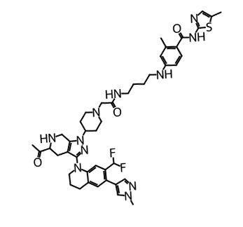 CC(=O)C1Cc2c(N3CCCc4cc(-c5cnn(C)c5)c(C(F)F)cc43)nn(C3CCN(CC(=O)NCCCCNc4ccc(C(=O)Nc5ncc(C)s5)c(C)c4)CC3)c2CN1